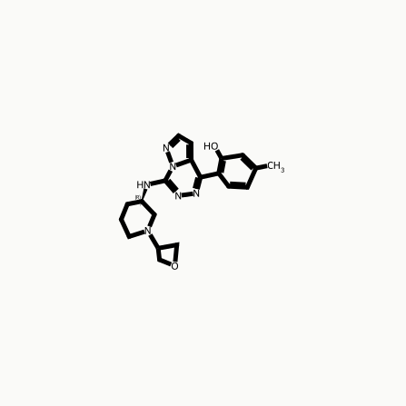 Cc1ccc(-c2nnc(N[C@@H]3CCCN(C4COC4)C3)n3nccc23)c(O)c1